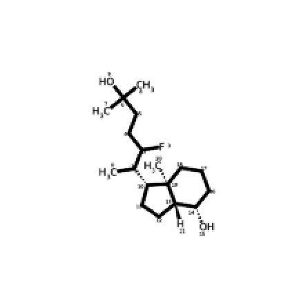 CC(C(F)CCC(C)(C)O)[C@H]1CC[C@H]2[C@@H](O)CCC[C@]12C